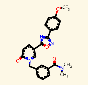 CN(C)C(=O)c1cccc(Cn2cc(-c3nc(-c4ccc(OC(F)(F)F)cc4)no3)ccc2=O)c1